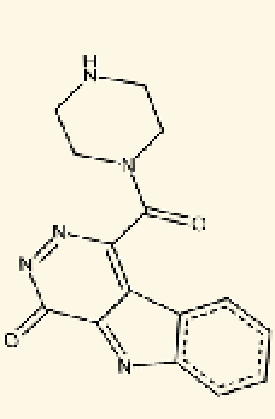 O=C1N=NC(C(=O)N2CCNCC2)=C2C1=Nc1ccccc12